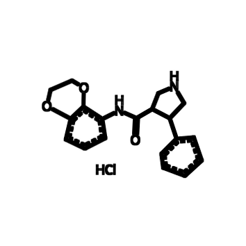 Cl.O=C(Nc1cccc2c1OCCO2)C1CNCC1c1ccccc1